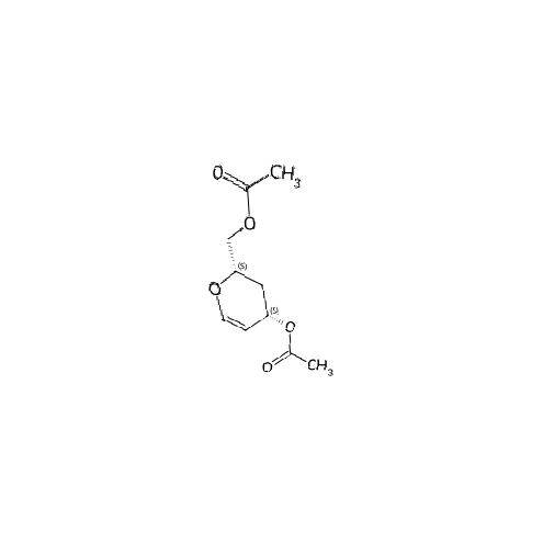 CC(=O)OC[C@@H]1C[C@H](OC(C)=O)C=CO1